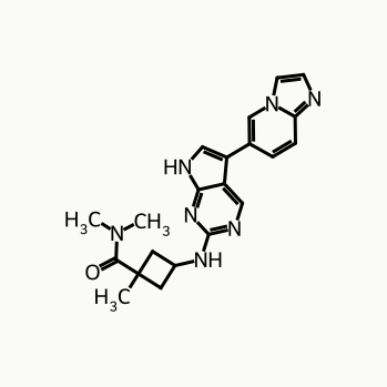 CN(C)C(=O)C1(C)CC(Nc2ncc3c(-c4ccc5nccn5c4)c[nH]c3n2)C1